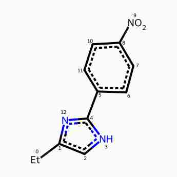 CCc1c[nH]c(-c2ccc([N+](=O)[O-])cc2)n1